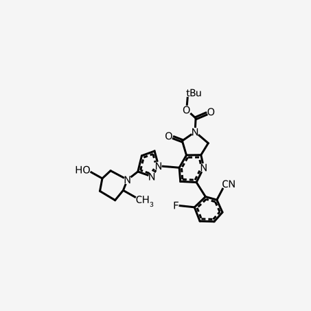 CC1CCC(O)CN1c1ccn(-c2cc(-c3c(F)cccc3C#N)nc3c2C(=O)N(C(=O)OC(C)(C)C)C3)n1